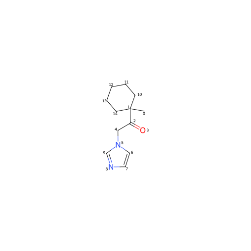 CC1(C(=O)Cn2ccnc2)CCCCC1